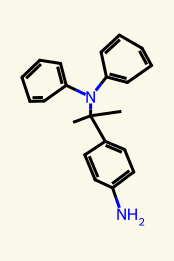 CC(C)(c1ccc(N)cc1)N(c1ccccc1)c1ccccc1